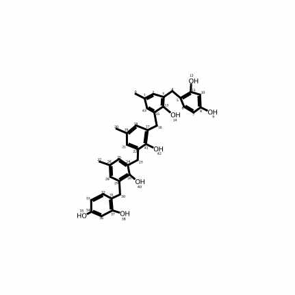 Cc1cc(Cc2ccc(O)cc2O)c(O)c(Cc2cc(C)cc(Cc3cc(C)cc(Cc4ccc(O)cc4O)c3O)c2O)c1